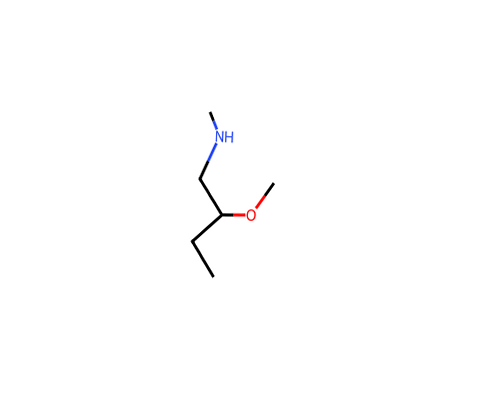 CCC(CNC)OC